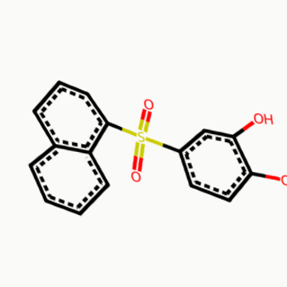 O=S(=O)(c1ccc(O)c(O)c1)c1cccc2ccccc12